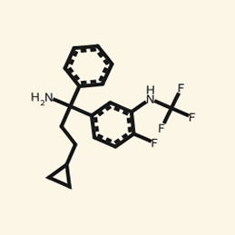 NC(CCC1CC1)(c1ccccc1)c1ccc(F)c(NC(F)(F)F)c1